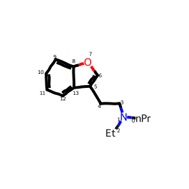 CCCN(CC)CCc1coc2ccccc12